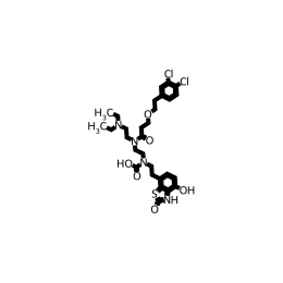 CCN(CC)CCN(CCN(CCc1ccc(O)c2[nH]c(=O)sc12)C(=O)O)C(=O)CCOCCc1ccc(Cl)c(Cl)c1